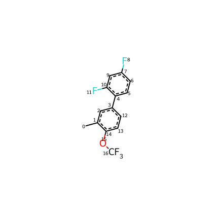 Cc1cc(-c2ccc(F)cc2F)ccc1OC(F)(F)F